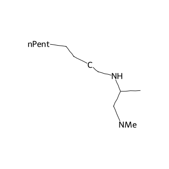 CCCCCCCCCNC(C)CNC